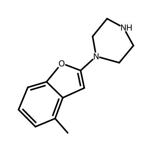 Cc1cccc2oc(N3CCNCC3)cc12